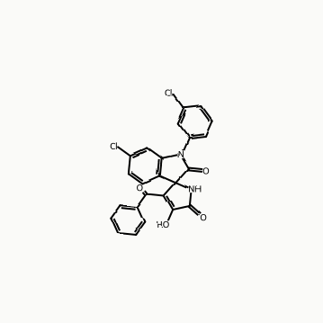 O=C1NC2(C(=O)N(c3cccc(Cl)c3)c3cc(Cl)ccc32)C(C(=O)c2ccccc2)=C1O